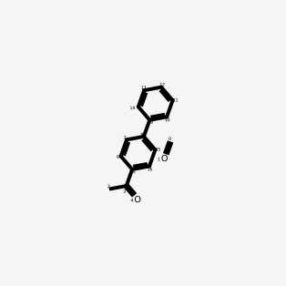 C=O.CC(=O)c1ccc(-c2ccccc2)cc1